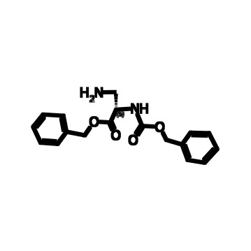 NC[C@H](NC(=O)OCc1ccccc1)C(=O)OCc1ccccc1